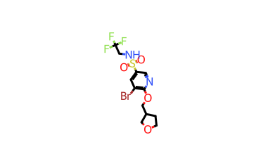 O=S(=O)(NCC(F)(F)F)c1cnc(OCC2CCOC2)c(Br)c1